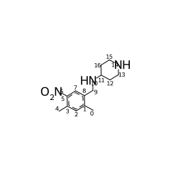 Cc1cc(C)c([N+](=O)[O-])cc1CNC1CCNCC1